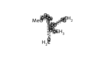 C=COCCCCCCCCCCC(CCOc1cncc2oc(=O)c(-c3cccc(OC)c3)cc12)c1cnc(OCCCCCCOC(=O)C=C)c2cc(-c3cccc(C)c3)c(=O)oc12